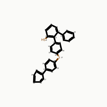 Sc1cccc(-c2ccccc2)c1-c1ccc(Sc2ccc(-c3ccccc3)cc2)cc1